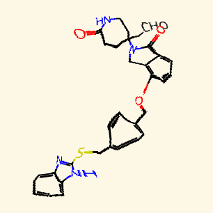 O=CC1(N2Cc3c(OCc4ccc(CSc5nc6ccccc6[nH]5)cc4)cccc3C2=O)CCC(=O)NC1